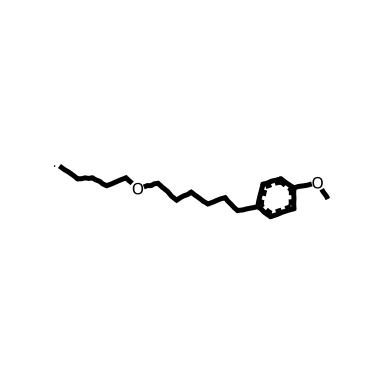 [CH2]CCCCOCCCCCCc1ccc(OC)cc1